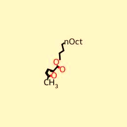 CCCCCCCCCCCCOC(=O)c1ccc(C)o1